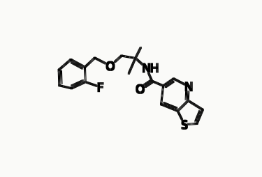 CC(C)(COCc1ccccc1F)NC(=O)c1cnc2ccsc2c1